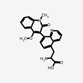 COc1c(-c2ccc(CC(N)C(=O)O)c3cccnc23)c(=O)n(C)c2ccccc12